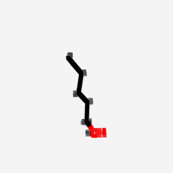 CCCC[C]O